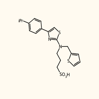 CC(C)c1ccc(-c2csc(N(CCCS(=O)(=O)O)Cc3cccs3)n2)cc1